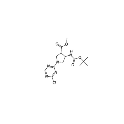 COC(=O)C1CN(c2ncnc(Cl)n2)CC1NC(=O)OC(C)(C)C